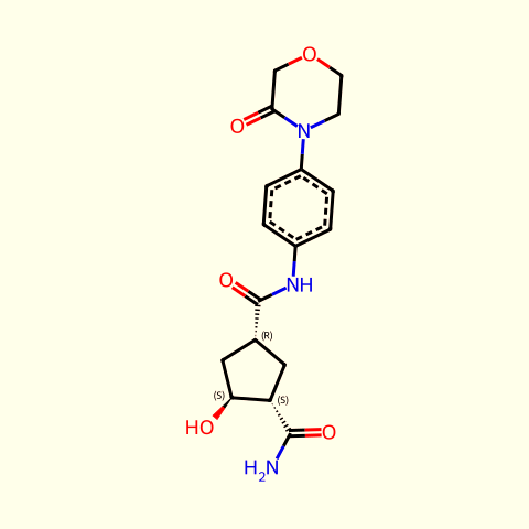 NC(=O)[C@H]1C[C@@H](C(=O)Nc2ccc(N3CCOCC3=O)cc2)C[C@@H]1O